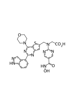 O=C(O)CN(Cc1cc2nc(-c3cccc4[nH]ncc34)nc(N3CCOCC3)c2s1)c1ncc(C(=O)NO)cn1